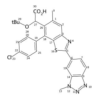 Cc1cc2nc(-c3ccc4nnn(C)c4c3)sc2c(-c2ccc(Cl)cc2)c1C(OC(C)(C)C)C(=O)O